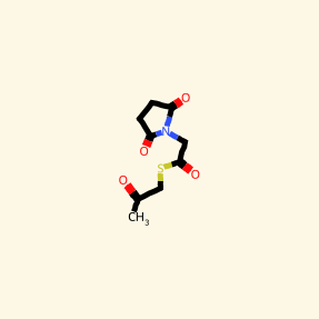 CC(=O)CSC(=O)CN1C(=O)CCC1=O